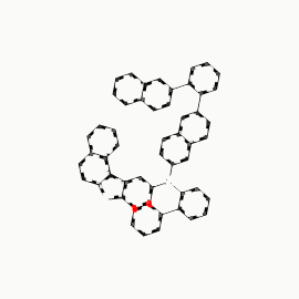 c1ccc(-c2ccccc2N(c2ccc3cc(-c4ccccc4-c4ccc5ccccc5c4)ccc3c2)c2ccc3oc4ccc5ccccc5c4c3c2)cc1